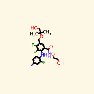 CC(C)(CO)OCc1cc(C(=O)NOCCO)c(Nc2ccc(I)cc2F)c(F)c1F